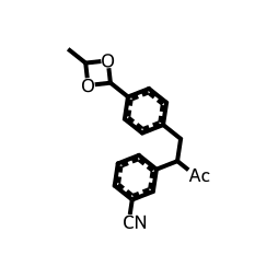 CC(=O)C(Cc1ccc(C2OC(C)O2)cc1)c1cccc(C#N)c1